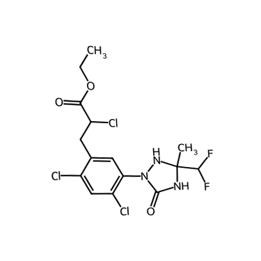 CCOC(=O)C(Cl)Cc1cc(N2NC(C)(C(F)F)NC2=O)c(Cl)cc1Cl